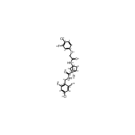 O=C(COc1ccc(Cl)c(F)c1)NC12CC(C1)[C@@H](C(=O)NCc1c(F)cc(Cl)cc1F)C2